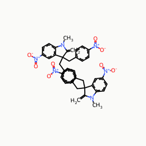 C=C1N(C)c2ccc([N+](=O)[O-])cc2C1(Cc1ccc(CC2(Cc3ccc([N+](=O)[O-])cc3)C(=C)N(C)c3ccc([N+](=O)[O-])cc32)cc1)Cc1ccc([N+](=O)[O-])cc1